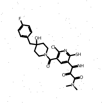 CN(C)C(=O)C(=O)C(=N)c1cc(C(=O)N2CCC(O)(Cc3ccc(F)cc3)CC2)c(Cl)nc1S